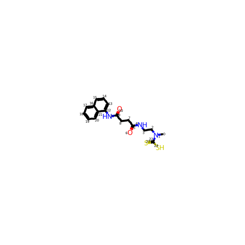 CN(CCNC(=O)CCC(=O)Nc1cccc2ccccc12)C(=S)S